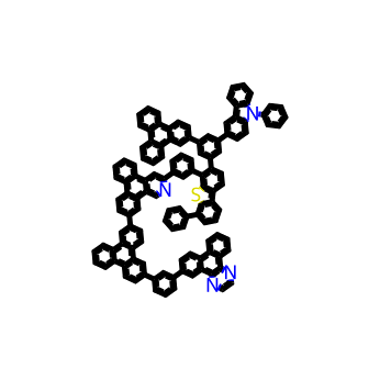 c1ccc(-c2cccc3c2sc2c(-c4cccc(-c5cc6c7ccccc7c7ccc(-c8ccc9c%10cc(-c%11cccc(-c%12ccc%13c%14ccccc%14c%14nccnc%14c%13c%12)c%11)ccc%10c%10ccccc%10c9c8)cc7c6cn5)c4)c(-c4cc(-c5ccc6c7ccccc7c7ccccc7c6c5)cc(-c5ccc6c(c5)c5ccccc5n6-c5ccccc5)c4)ccc23)cc1